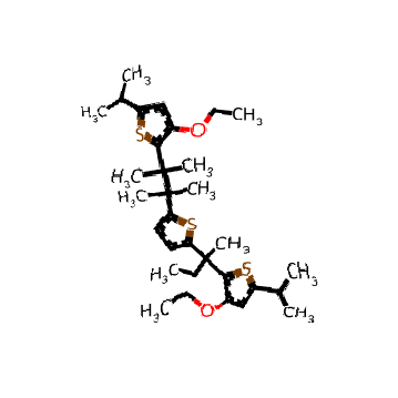 CCOc1cc(C(C)C)sc1C(C)(CC)c1ccc(C(C)(C)C(C)(C)c2sc(C(C)C)cc2OCC)s1